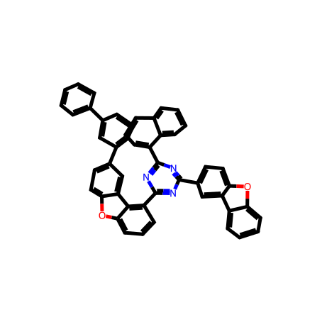 c1ccc(-c2cccc(-c3ccc4oc5cccc(-c6nc(-c7ccc8oc9ccccc9c8c7)nc(-c7cccc8ccccc78)n6)c5c4c3)c2)cc1